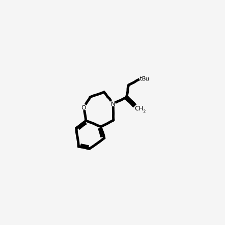 C=C(CC(C)(C)C)N1CCOc2ccccc2C1